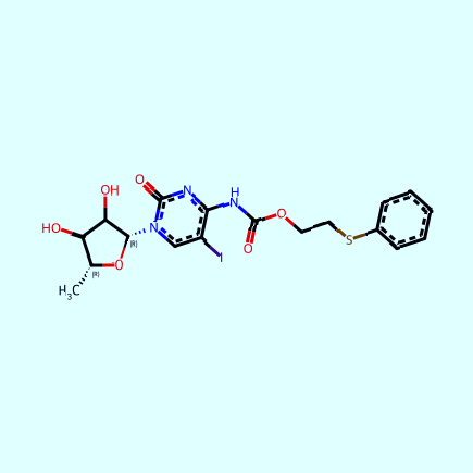 C[C@H]1O[C@@H](n2cc(I)c(NC(=O)OCCSc3ccccc3)nc2=O)C(O)C1O